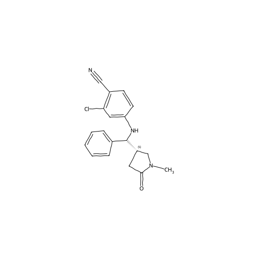 CN1C[C@@H](C(Nc2ccc(C#N)c(Cl)c2)c2ccccc2)CC1=O